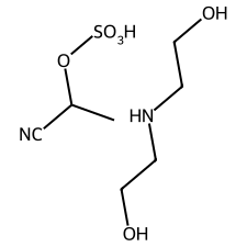 CC(C#N)OS(=O)(=O)O.OCCNCCO